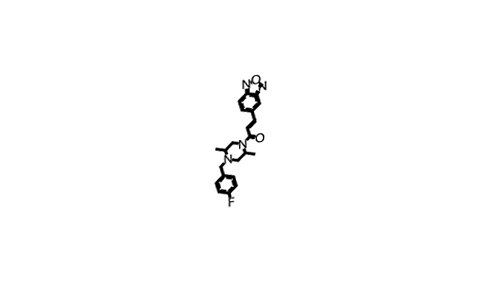 CC1CN(C(=O)C=Cc2ccc3nonc3c2)C(C)CN1Cc1ccc(F)cc1